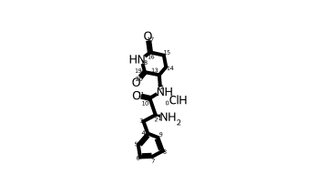 Cl.N[C@@H](Cc1ccccc1)C(=O)NC1CCC(=O)NC1=O